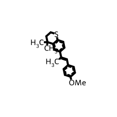 COc1ccc(C=C(C)c2ccc3c(c2)C(C)(C)CCS3)cc1